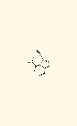 C=Cc1ncc(C#N)n1N(C)C(C)C